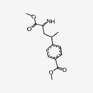 COC(=O)C(=N)CC(C)c1ccc(C(=O)OC)cc1